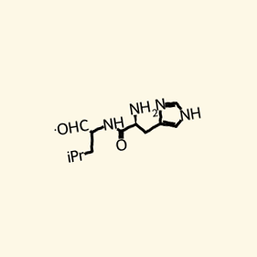 CC(C)C[C@@H]([C]=O)NC(=O)[C@@H](N)Cc1c[nH]cn1